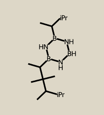 CC(C)C(C)B1NBNB(C(C)C(C)(C)C(C)C(C)C)N1